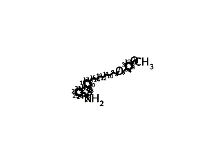 COc1ccc(COCCCCCCCCc2ccc(-c3ccccc3C(N)=S)cc2)cc1